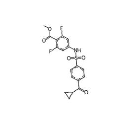 COC(=O)c1c(F)cc(NS(=O)(=O)c2ccc(C(=O)C3CC3)cc2)cc1F